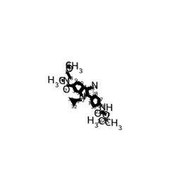 COCCN(C)C(=O)c1ccc2c(C#N)c(-c3ccc(NC(=O)OC(C)C)cc3)n(CC3CC3)c2c1